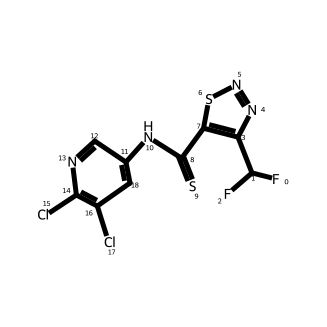 FC(F)c1nnsc1C(=S)Nc1cnc(Cl)c(Cl)c1